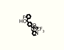 O=S(=O)(CC(F)(F)F)N(Cc1cccnc1)c1ccc(C(O)c2ccccc2F)cc1